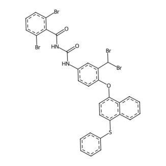 O=C(NC(=O)c1c(Br)cccc1Br)Nc1ccc(Oc2ccc(Sc3ccccc3)c3ccccc23)c(C(Br)Br)c1